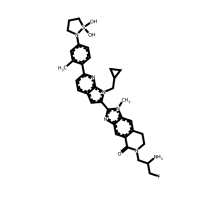 Cc1cc(N2CCCS2(O)O)ccc1-c1ccc2cc(-c3nc4cc5c(cc4n3C)CCN(CC(N)CF)C5=O)n(CC3CC3)c2n1